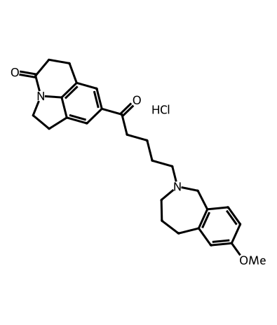 COc1ccc2c(c1)CCCN(CCCCC(=O)c1cc3c4c(c1)CCN4C(=O)CC3)C2.Cl